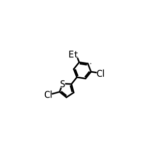 CCc1[c]c(Cl)cc(-c2ccc(Cl)s2)c1